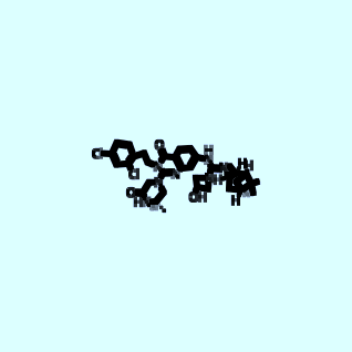 C[C@@H]1[C@@H](/N=C(/Nc2ccc3c(=O)n(CCc4ccc(Cl)cc4Cl)c(N4CC(=O)N[C@@H](C)C4)nc3c2)N2CC(O)C2)C[C@@H]2C[C@H]1C2(C)C